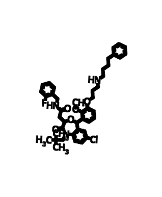 COc1c(OCCCNCCCCc2ccccc2)cccc1C1OC(CC(=O)NCc2ccccc2F)C(=O)N(CC(C)(C)C)c2ccc(Cl)cc21